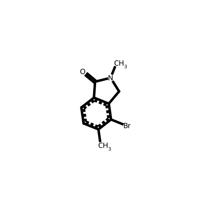 Cc1ccc2c(c1Br)CN(C)C2=O